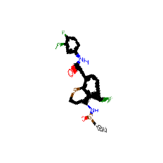 CC(C)(C)[S+]([O-])N[C@H]1CCSc2c(C(=O)Nc3ccc(F)c(F)c3)ccc(F)c21